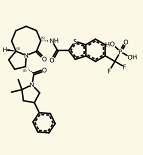 CC1(C)CC(c2ccccc2)CN1C(=O)[C@@H]1CC[C@@H]2CCCC[C@H](NC(=O)c3cc4cc(C(F)(F)P(=O)(O)O)ccc4s3)C(=O)N21